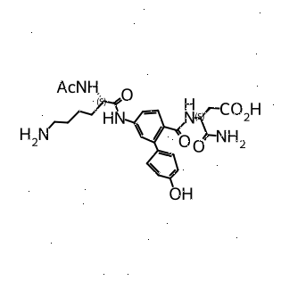 CC(=O)N[C@@H](CCCCN)C(=O)Nc1ccc(C(=O)N[C@@H](CC(=O)O)C(N)=O)c(-c2ccc(O)cc2)c1